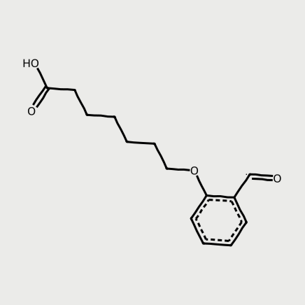 O=[C]c1ccccc1OCCCCCCC(=O)O